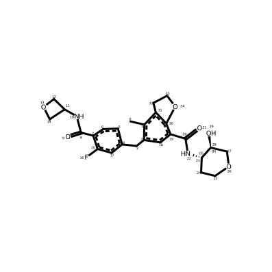 Cc1c(Cc2ccc(C(=O)NC3COC3)c(F)c2)cc(C(=O)N[C@H]2CCOC[C@@H]2O)c2c1CCO2